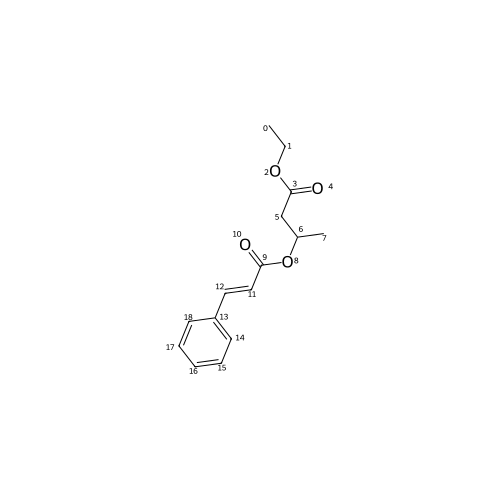 CCOC(=O)CC(C)OC(=O)C=Cc1ccccc1